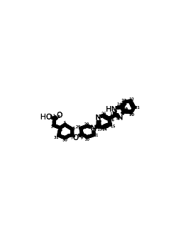 O=C(O)CC1CCC(OC2CCN(c3ccc(-c4nc5ccccc5[nH]4)cn3)CC2)CC1